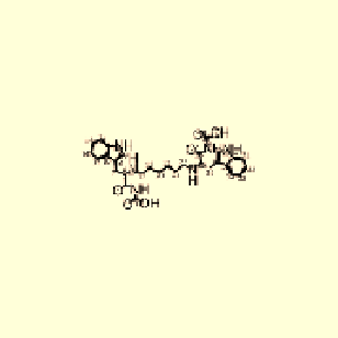 O=C(O)NC(=O)C(Cc1c[nH]c2ccccc12)NCCCCCCN[C@@H](Cc1c[nH]c2ccccc12)C(=O)NC(=O)O